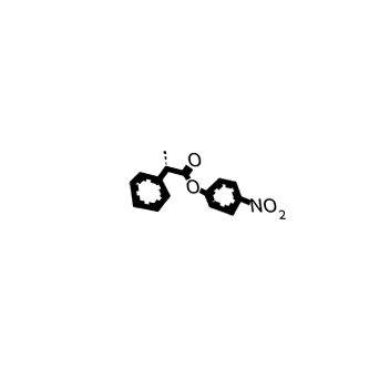 C[C@H](C(=O)Oc1ccc([N+](=O)[O-])cc1)c1ccccc1